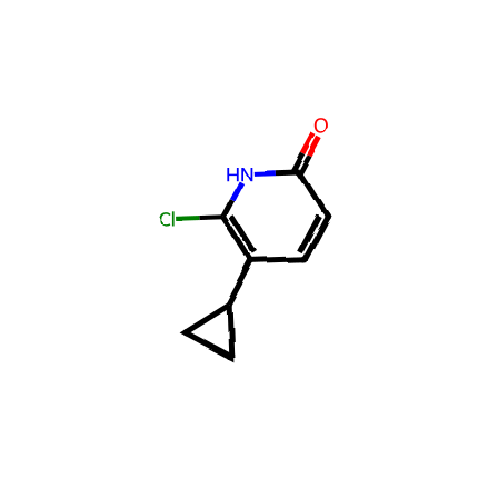 O=c1ccc(C2CC2)c(Cl)[nH]1